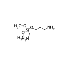 CO[Si](CN)(OC)OCCCN